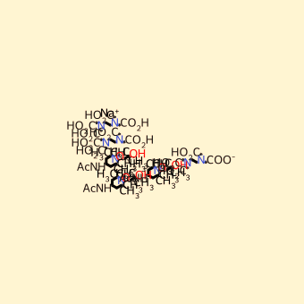 CC(=O)NC1CC(C)(C)N(OCC(C)(C)O)C(C)(C)C1.CC(=O)NC1CC(C)(C)N(OCC(C)(C)O)C(C)(C)C1.CC(=O)NC1CC(C)(C)N(OCC(C)(C)O)C(C)(C)C1.O=C(O)CN(CCN(CC(=O)O)CC(=O)O)CC(=O)O.O=C(O)CN(CCN(CC(=O)O)CC(=O)O)CC(=O)O.O=C([O-])CN(CCN(CC(=O)O)CC(=O)O)CC(=O)O.[Na+]